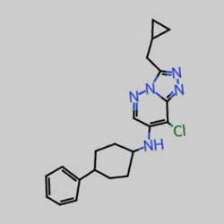 Clc1c(NC2CCC(c3ccccc3)CC2)cnn2c(CC3CC3)nnc12